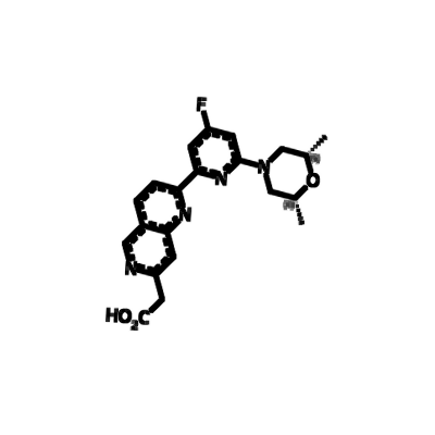 C[C@@H]1CN(c2cc(F)cc(-c3ccc4cnc(CC(=O)O)cc4n3)n2)C[C@H](C)O1